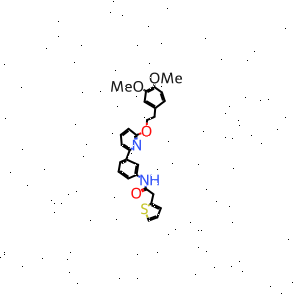 COc1ccc(CCOc2cccc(-c3cccc(NC(=O)Cc4cccs4)c3)n2)cc1OC